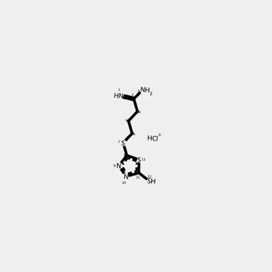 Cl.N=C(N)CCCSc1nnc(S)s1